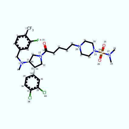 CN(Cc1ccc(C(F)(F)F)c(F)c1)[C@H]1CN(C(=O)CCCCN2CCN(S(=O)(=O)N(C)C)CC2)C[C@@H]1c1ccc(Cl)c(Cl)c1